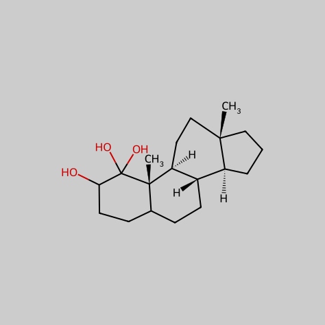 C[C@@]12CCC[C@H]1[C@@H]1CCC3CCC(O)C(O)(O)[C@]3(C)[C@H]1CC2